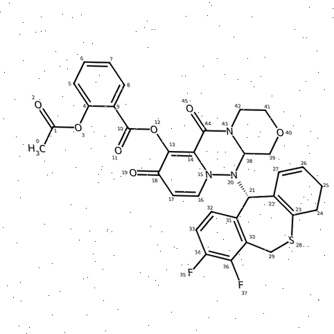 CC(=O)Oc1ccccc1C(=O)Oc1c2n(ccc1=O)N([C@@H]1C3=C(CCC=C3)SCc3c1ccc(F)c3F)C1COCCN1C2=O